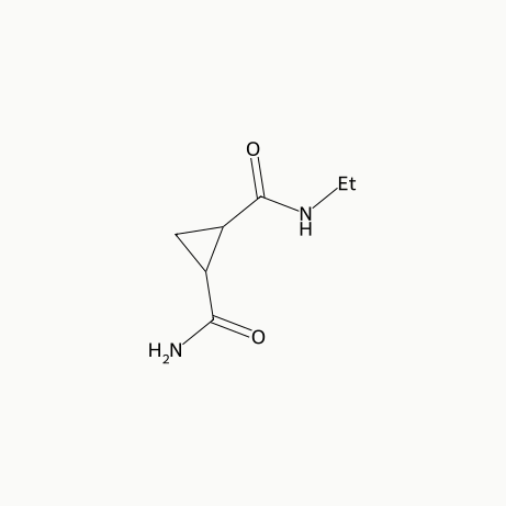 CCNC(=O)C1CC1C(N)=O